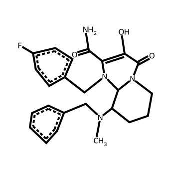 CN(Cc1ccccc1)C1CCCN2C(=O)C(O)=C(C(N)=O)N(Cc3ccc(F)cc3)C12